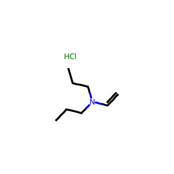 C=CN(CCC)CCC.Cl